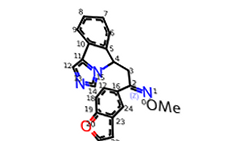 CO/N=C(/CC1c2ccccc2-c2cncn21)c1ccc2occc2c1